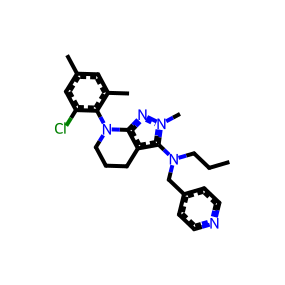 CCCN(Cc1ccncc1)c1c2c(nn1C)N(c1c(C)cc(C)cc1Cl)CCC2